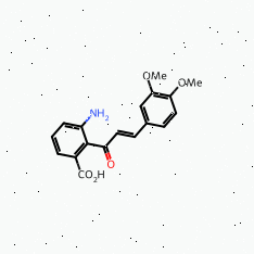 COc1ccc(C=CC(=O)c2c(N)cccc2C(=O)O)cc1OC